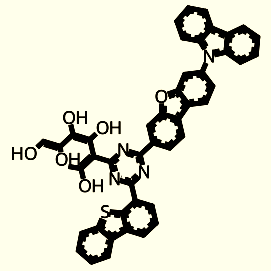 C\C(O)=C(/C(O)=C(O)\C(O)=C\O)c1nc(-c2ccc3c(c2)oc2cc(-n4c5ccccc5c5ccccc54)ccc23)nc(-c2cccc3c2sc2ccccc23)n1